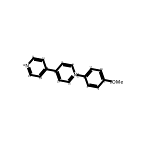 COc1ccc(-[n+]2ccc(-c3ccncc3)cc2)cc1